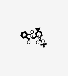 CC(C)(C)OC(=O)N1CCC2(CC2)CC1CN1C(=O)c2ccccc2C1=O